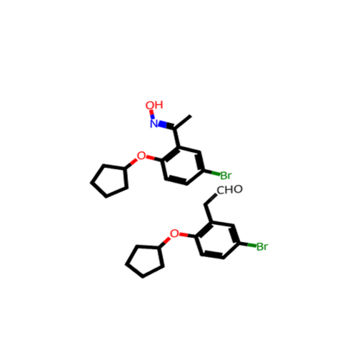 CC(=NO)c1cc(Br)ccc1OC1CCCC1.O=CCc1cc(Br)ccc1OC1CCCC1